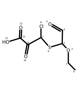 CCOC(C=O)SC(Cl)C(=O)C(=O)O